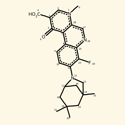 Cn1cc(C(=O)O)c(=O)c2c3ccc(N4CC5(C)CC4CC(C)(C)C5)c(F)c3ncc21